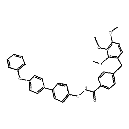 COc1ccc(Cc2ccc(C(=O)NSc3ccc(-c4ccc(Oc5ccccc5)cc4)cc3)cc2)c(OC)c1OC